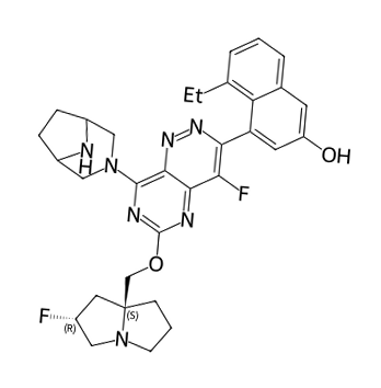 CCc1cccc2cc(O)cc(-c3nnc4c(N5CC6CCC(C5)N6)nc(OC[C@@]56CCCN5C[C@H](F)C6)nc4c3F)c12